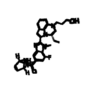 CC[C@H]1CN(CCCO)c2cccc3cc(-c4nc5cc(C(=O)N6C[C@H]7CC[C@@H]6[C@@H]7N)cc(F)c5n4C)n1c23